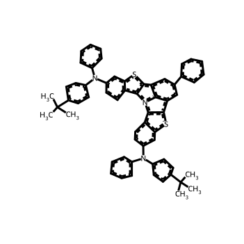 CC(C)(C)c1ccc(N(c2ccccc2)c2ccc3c(c2)sc2c4cc(-c5ccccc5)cc5c6sc7cc(N(c8ccccc8)c8ccc(C(C)(C)C)cc8)ccc7c6n(c45)c32)cc1